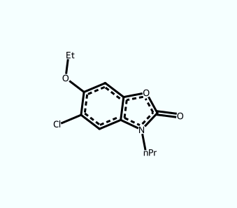 CCCn1c(=O)oc2cc(OCC)c(Cl)cc21